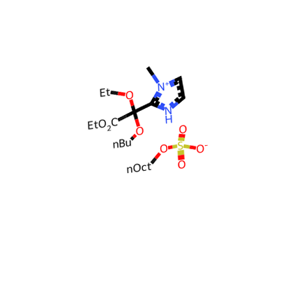 CCCCCCCCOS(=O)(=O)[O-].CCCCOC(OCC)(C(=O)OCC)c1[nH]cc[n+]1C